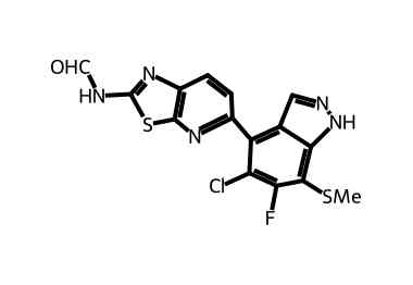 CSc1c(F)c(Cl)c(-c2ccc3nc(NC=O)sc3n2)c2cn[nH]c12